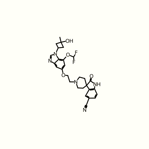 CC1(O)CC(n2cnc3cc(OCCN4CCC5(CC4)C(=O)Nc4ccc(C#N)cc45)cc(OC(F)F)c32)C1